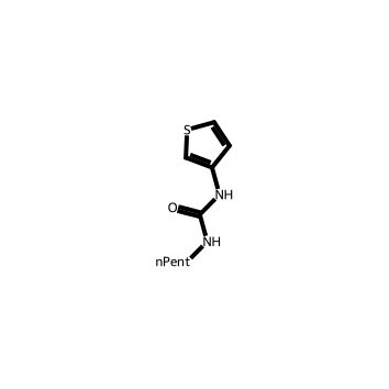 CCCCCNC(=O)Nc1ccsc1